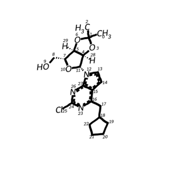 CC1(C)O[C@@H]2[C@H](O1)[C@@H](CO)O[C@H]2n1ccc2c(CC3CCCC3)nc(Cl)nc21